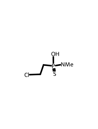 CNP(O)(=S)CCCl